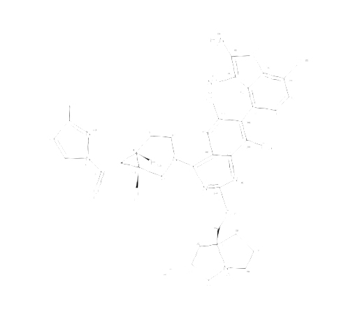 Cc1ccn(C(=O)[C@@H]2[C@@H]3CCN(c4nc(OC[C@@]56CCCN5C[C@H](F)C6)nc5c(F)c(-c6ccc(F)c7sc(N)c(C#N)c67)c(Cl)cc45)C[C@@H]32)n1